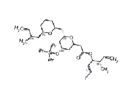 C=C[C@H](C)C[C@H]1CCCC(C[C@H]2C[C@@H](O[Si](C(C)C)(C(C)C)C(C)C)CC(CC(=O)OC(/C=C/I)[C@@H](C)C=C)O2)O1